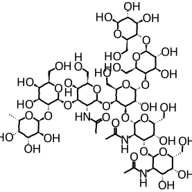 CC(=O)N[C@H]1[C@@H](O[C@H]2[C@@H](O)[C@@H](CO)O[C@@H](O[C@@H]3[C@@H](O)[C@@H](O[C@@H]4[C@H](O)[C@@H](O)[C@H](O[C@H]5[C@H](O)[C@@H](O)[C@H](O)O[C@@H]5CO)O[C@@H]4CO)O[C@H](CO)[C@@H]3O[C@@H]3O[C@H](CO)[C@H](O)[C@H](O[C@@H]4O[C@H](CO)[C@H](O)[C@H](O)[C@H]4O[C@@H]4O[C@@H](C)[C@@H](O)[C@@H](O)[C@@H]4O)[C@H]3NC(C)=O)[C@@H]2NC(C)=O)O[C@H](CO)[C@H](O)[C@@H]1O